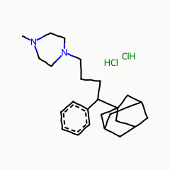 CN1CCN(CCCC(c2ccccc2)C23CC4CC(CC(C4)C2)C3)CC1.Cl.Cl